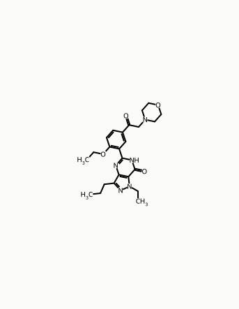 CCCc1nn(CC)c2c(=O)[nH]c(-c3cc(C(=O)CN4CCOCC4)ccc3OCC)nc12